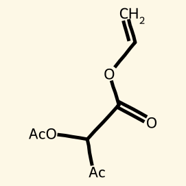 C=COC(=O)C(OC(C)=O)C(C)=O